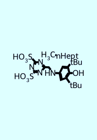 CC(C)(C)c1cc(NCc2nc(S(=O)(=O)O)nc(S(=O)(=O)O)n2)cc(C(C)(C)C)c1O.CCCCCCCC